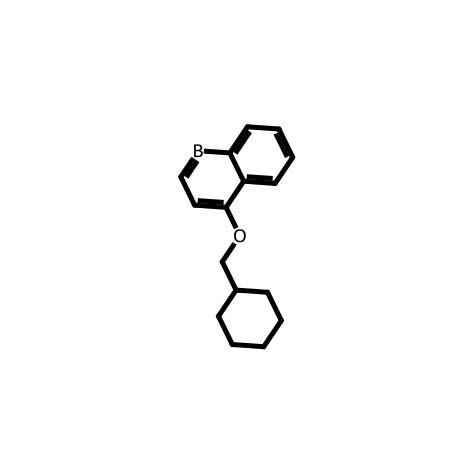 b1ccc(OCC2CCCCC2)c2ccccc12